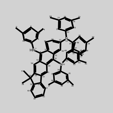 Cc1cc(C)cc(Nc2c3ccc(N(c4cc(C)cc(C)c4)c4cc(C)cc(C)c4)cc3c(N(c3cc(C)cc(C)c3)c3cc(C)cc(C)c3)c3cc4c(cc23)C(C)(C)c2ccccc2-4)c1